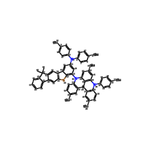 CC(C)(C)c1ccc(N(c2ccc(C(C)(C)C)cc2)c2cc(N3c4ccc(C(C)(C)C)cc4B4c5cc(C(C)(C)C)ccc5N(c5ccc(C(C)(C)C)cc5)c5cc(C(C)(C)C)cc3c54)c3sc4cc5c(cc4c3c2)C(C)(C)c2ccccc2-5)cc1